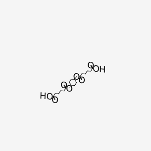 O=C(O)CCCCC(=O)O[C@H]1CC[C@H](OC(=O)CCCCC(=O)O)CC1